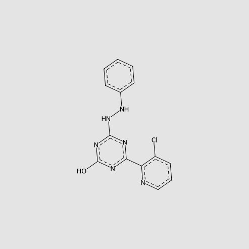 Oc1nc(NNc2ccccc2)nc(-c2ncccc2Cl)n1